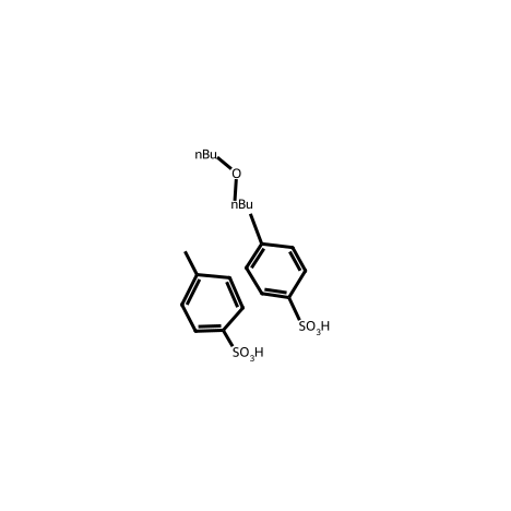 CCCCOCCCC.Cc1ccc(S(=O)(=O)O)cc1.Cc1ccc(S(=O)(=O)O)cc1